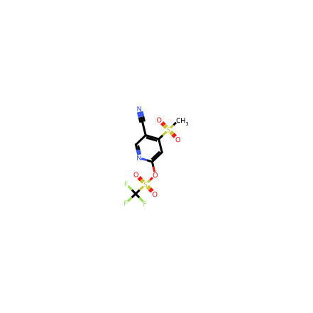 CS(=O)(=O)c1cc(OS(=O)(=O)C(F)(F)F)ncc1C#N